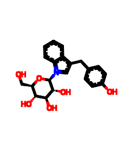 OC[C@H]1O[C@@H](n2cc(Cc3ccc(O)cc3)c3ccccc32)[C@H](O)[C@@H](O)[C@@H]1O